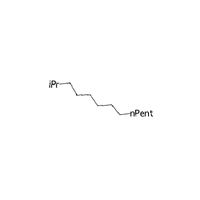 C[CH]CCCCCCCCCC(C)C